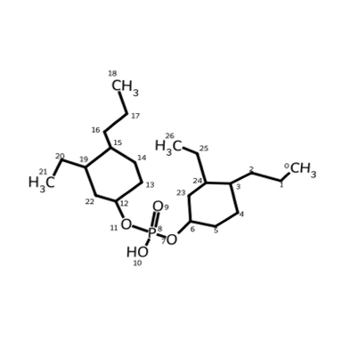 CCCC1CCC(OP(=O)(O)OC2CCC(CCC)C(CC)C2)CC1CC